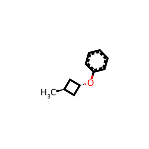 C[C@H]1C[C@H](Oc2ccccc2)C1